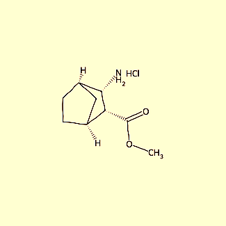 COC(=O)[C@@H]1[C@H]2CC[C@H](C2)[C@@H]1N.Cl